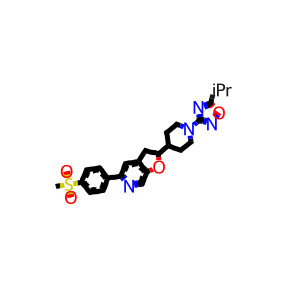 CC(C)c1nc(N2CCC(C3Cc4cc(-c5ccc(S(C)(=O)=O)cc5)ncc4O3)CC2)no1